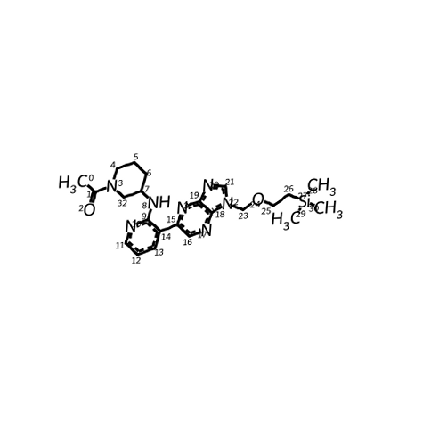 CC(=O)N1CCCC(Nc2ncccc2-c2cnc3c(ncn3COCC[Si](C)(C)C)n2)C1